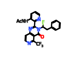 CC(=O)Nc1cccnc1-c1nc2ccnc(C(F)(F)F)c2c(=O)n1C(F)Cc1ccccc1